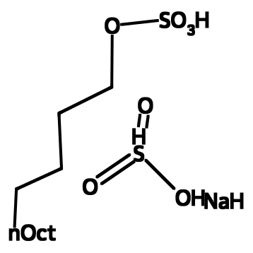 CCCCCCCCCCCCOS(=O)(=O)O.O=[SH](=O)O.[NaH]